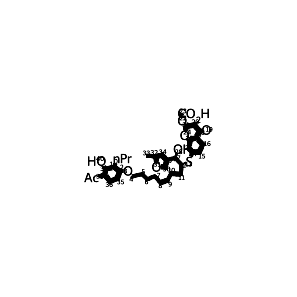 CCCc1c(OCCCC/C=C\C=C\[C@H](Sc2ccc3c(=O)cc(OC(=O)O)oc3c2)[C@H](O)c2coc(C)c2)ccc(C(C)=O)c1O